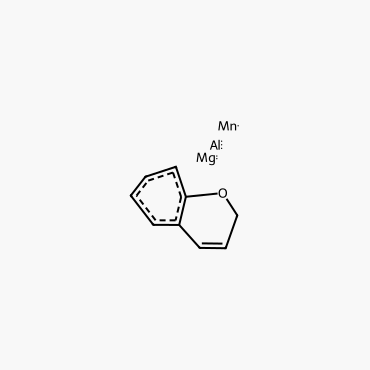 C1=Cc2ccccc2OC1.[Al].[Mg].[Mn]